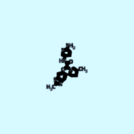 Cc1nc2cc([C@@H]3CC[C@@H](C)CN3C(=O)C(=O)Nc3ccc(N)nc3)ccc2s1